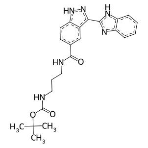 CC(C)(C)OC(=O)NCCCNC(=O)c1ccc2[nH]nc(-c3nc4ccccc4[nH]3)c2c1